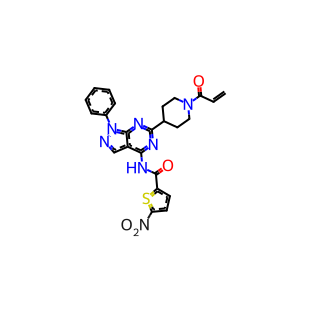 C=CC(=O)N1CCC(c2nc(NC(=O)c3ccc([N+](=O)[O-])s3)c3cnn(-c4ccccc4)c3n2)CC1